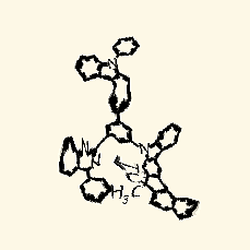 CC1(C)c2cc3c(cc2-c2c1ccc1ccccc21)c1ccccc1n3-c1cc(-c2ccc3c(c2)c2ccccc2n3-c2ccccc2)cc(-c2nc(-c3ccccc3)c3ccccc3n2)c1